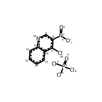 O=P(Cl)(Cl)Cl.O=[N+]([O-])c1cnc2ccccc2c1Cl